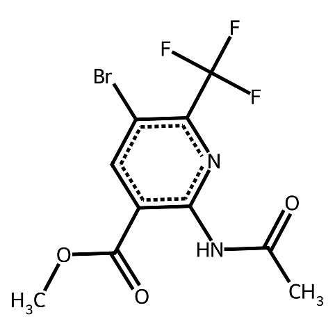 COC(=O)c1cc(Br)c(C(F)(F)F)nc1NC(C)=O